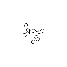 c1ccc(-c2cc(-c3ccccc3)nc(-c3ccc(-c4cc5ccccc5cc4-c4ccc5c6c(cccc46)-c4ccccc4-5)cc3)n2)cc1